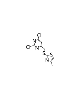 Cc1csc(SCc2cc(Cl)nc(Cl)n2)n1